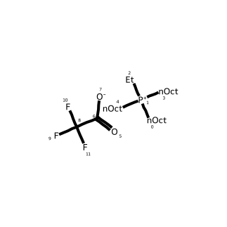 CCCCCCCC[P+](CC)(CCCCCCCC)CCCCCCCC.O=C([O-])C(F)(F)F